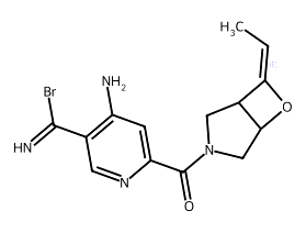 C/C=C1/OC2CN(C(=O)c3cc(N)c(C(=N)Br)cn3)CC12